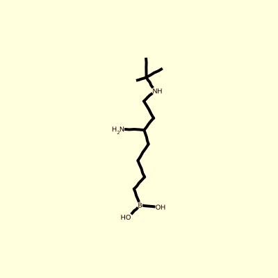 CC(C)(C)NCCC(N)CCCCB(O)O